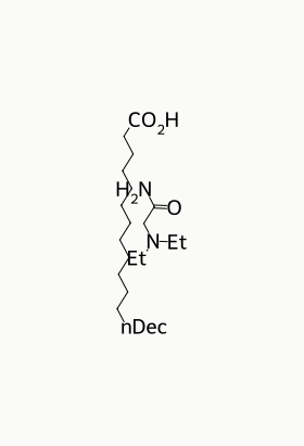 CCCCCCCCCCCCCCCCCCCCCC(=O)O.CCN(CC)CC(N)=O